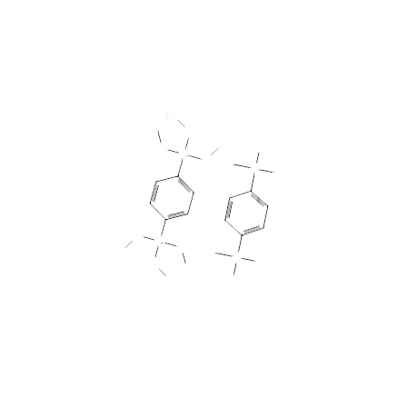 CCO[Si](OCC)(OCC)c1ccc([Si](OCC)(OCC)OCC)cc1.Cl[Si](Cl)(Cl)c1ccc([Si](Cl)(Cl)Cl)cc1